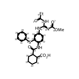 CCC(=O)NC(=NC(=O)OC)Nc1ccc(NC(=O)C2CCCCC2C(=O)O)c(Sc2ccccc2)c1